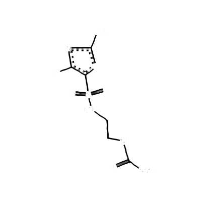 CNC(=O)NCCNS(=O)(=O)c1sc(C)nc1C